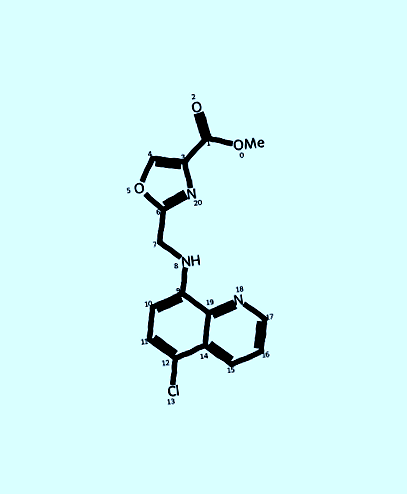 COC(=O)c1coc(CNc2ccc(Cl)c3cccnc23)n1